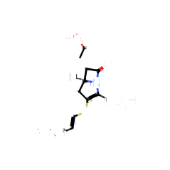 CC(=O)N/C=C/SC1=C(C(=O)O)N2C(=O)[C@@H](CCO)[C@H]2C1